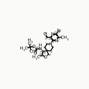 Cc1nc(N2CCC3(CC2)CO[C@@H](C)[C@H]3NC(=O)OC(C)(C)C)c(C=O)nc1Br